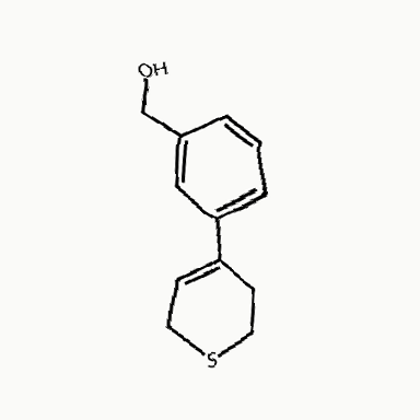 OCc1cccc(C2=CCSCC2)c1